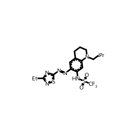 CCc1nsc(N=Nc2cc3c(cc2NS(=O)(=O)C(F)(F)F)N(CC(C)C)CCC3)n1